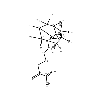 C=C(CCCOC12C(F)(F)C3(F)C(F)(F)C(F)(C(F)(F)C(F)(C3(F)F)C1(F)F)C2(F)F)C(=O)O